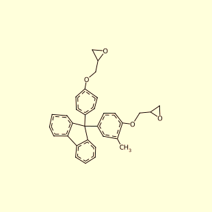 Cc1cc(C2(c3ccc(OCC4CO4)cc3)c3ccccc3-c3ccccc32)ccc1OCC1CO1